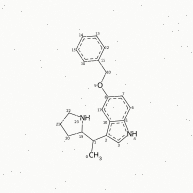 CC(c1c[nH]c2ccc(OCc3ccccc3)cc12)C1CCCN1